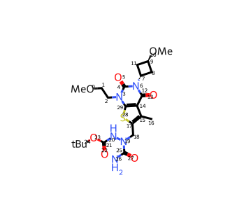 COCCn1c(=O)n([C@H]2C[C@H](OC)C2)c(=O)c2c(C)c(CN(NC(=O)OC(C)(C)C)C(N)=O)sc21